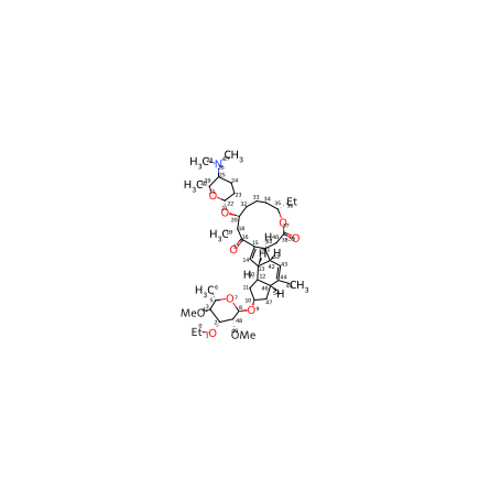 CCO[C@@H]1[C@@H](OC)[C@H](C)O[C@@H](O[C@H]2C[C@H]3[C@@H]4C=C5C(=O)[C@H](C)[C@@H](O[C@H]6CCC(N(C)C)[C@@H](C)O6)CCC[C@H](CC)OC(=O)C[C@H]5[C@@H]4C=C(C)[C@@H]3C2)[C@@H]1OC